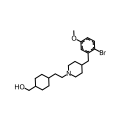 COc1ccc(Br)c(CC2CCN(CCC3CCC(CO)CC3)CC2)c1